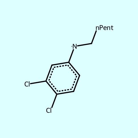 CCCCCC[N]c1ccc(Cl)c(Cl)c1